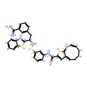 N=C(N)c1cccc(CC(NSc2cccc(NC(=O)c3cc4/c(s3)=N\C=C/CCC\C=4)c2)c2nc3ccccc3s2)c1